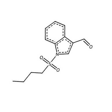 CCCCS(=O)(=O)n1cc(C=O)c2ccccc21